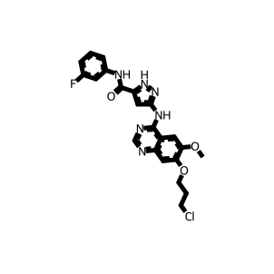 COc1cc2c(Nc3cc(C(=O)Nc4cccc(F)c4)[nH]n3)ncnc2cc1OCCCCl